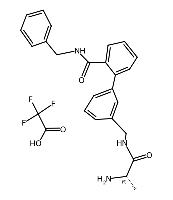 C[C@H](N)C(=O)NCc1cccc(-c2ccccc2C(=O)NCc2ccccc2)c1.O=C(O)C(F)(F)F